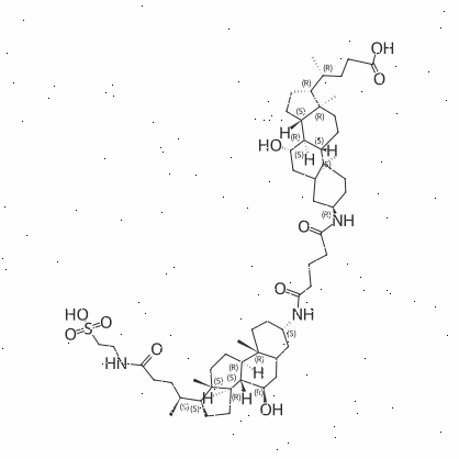 C[C@H](CCC(=O)O)[C@H]1CC[C@H]2[C@@H]3[C@@H](O)CC4C[C@H](NC(=O)CCCC(=O)N[C@H]5CC[C@]6(C)C(C5)C[C@@H](O)[C@@H]5[C@H]7CC[C@@H]([C@@H](C)CCC(=O)NCCS(=O)(=O)O)[C@]7(C)CC[C@H]56)CC[C@]4(C)[C@H]3CC[C@]12C